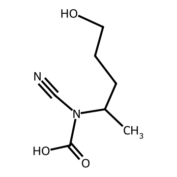 CC(CCCO)N(C#N)C(=O)O